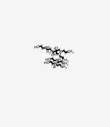 C=CCOCC(CC)(CO)COCC=C.NCCNCCO.NCCNCCO.NCCNCCO.[Zr]